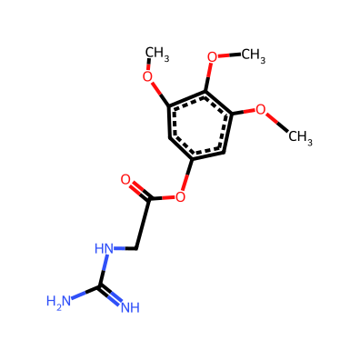 COc1cc(OC(=O)CNC(=N)N)cc(OC)c1OC